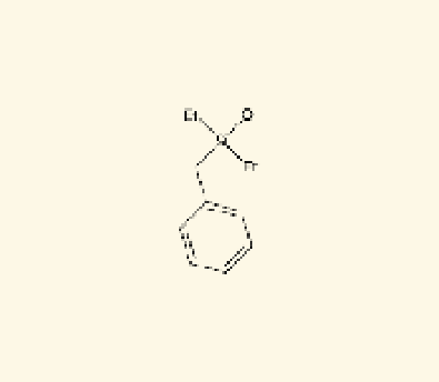 CC[Si]([O])(CC)Cc1ccccc1